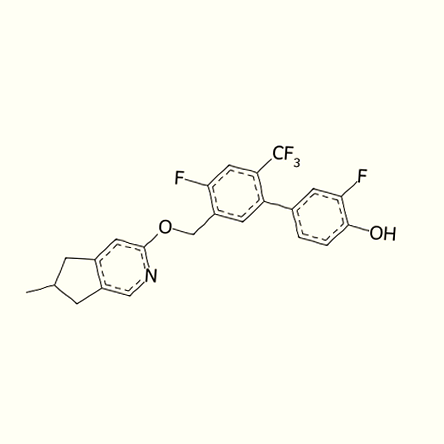 CC1Cc2cnc(OCc3cc(-c4ccc(O)c(F)c4)c(C(F)(F)F)cc3F)cc2C1